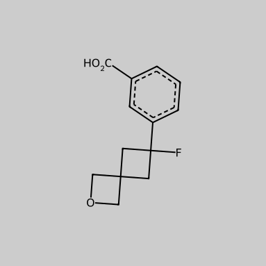 O=C(O)c1cccc(C2(F)CC3(COC3)C2)c1